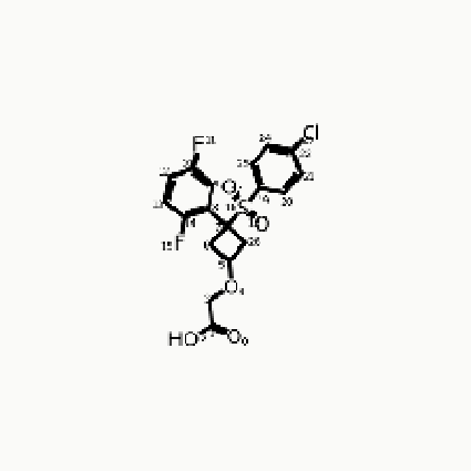 O=C(O)COC1CC(c2cc(F)ccc2F)(S(=O)(=O)c2ccc(Cl)cc2)C1